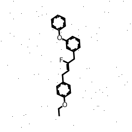 CCOc1ccc(CC=C(F)Cc2cccc(Oc3ccccc3)c2)cc1